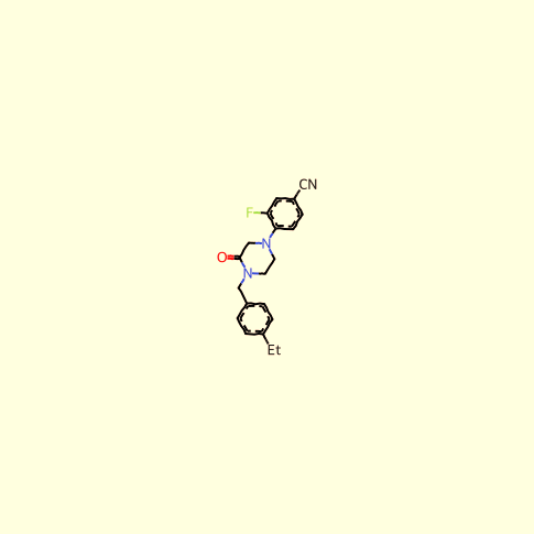 CCc1ccc(CN2CCN(c3ccc(C#N)cc3F)CC2=O)cc1